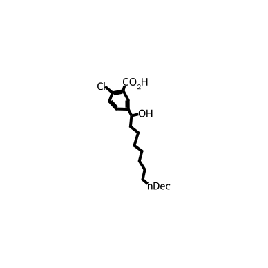 CCCCCCCCCCCCCCCCCC(O)c1ccc(Cl)c(C(=O)O)c1